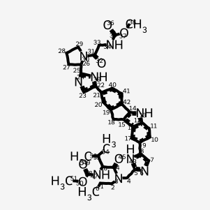 CCCN(Cc1ncc(-c2ccc3[nH]c4c(c3c2)Cc2cc(-c3cnc(C5CCCN5C(=O)CNC(=O)OC)[nH]3)ccc2-4)[nH]1)C(=O)C(NC(=O)OC)C(C)C